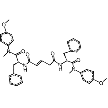 COc1ccc(N(C)C(=O)[C@H](Cc2ccccc2)NC(=O)/C=C/CC(=O)N[C@@H](Cc2ccccc2)C(=O)N(C)c2ccc(OC)cc2)cc1